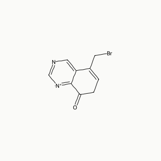 O=C1CC=C(CBr)C2=CN=C[N+]=C12